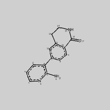 Nc1nc[c]cc1-c1ccc2c(c1)CCNC2=O